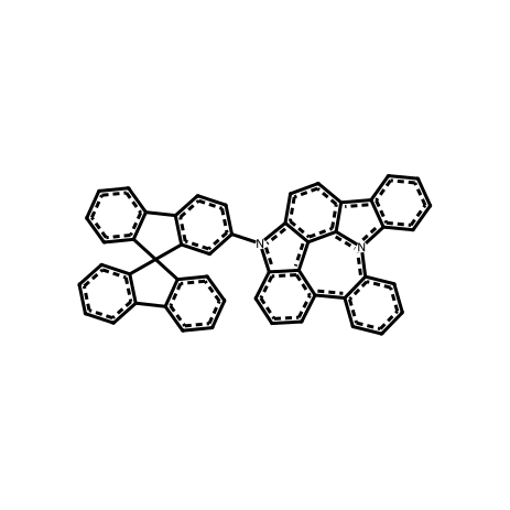 c1ccc2c(c1)-c1ccccc1C21c2ccccc2-c2ccc(-n3c4cccc5c6ccccc6n6c7ccccc7c7ccc3c(c54)c76)cc21